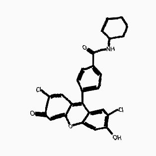 O=C(NC1CCCCC1)c1ccc(-c2c3cc(Cl)c(=O)cc-3oc3cc(O)c(Cl)cc23)cc1